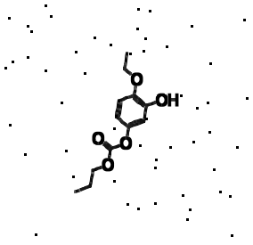 CCCOC(=O)Oc1ccc(OCC)c(O)c1